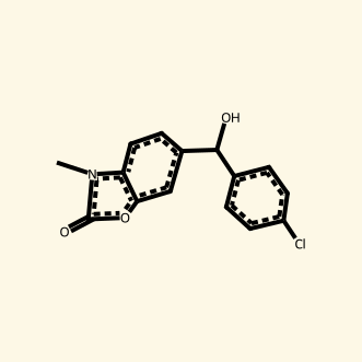 Cn1c(=O)oc2cc(C(O)c3ccc(Cl)cc3)ccc21